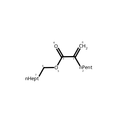 C=C(CCCCC)C(=O)OCCCCCCCC